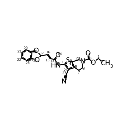 CCOC(=O)N1CCc2c(sc(NC(=O)C=CC3Oc4ccccc4O3)c2C#N)C1